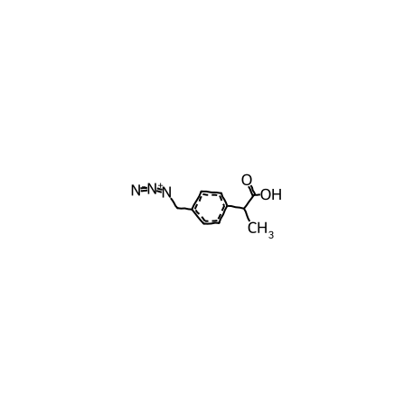 CC(C(=O)O)c1ccc(CN=[N+]=[N-])cc1